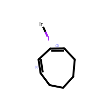 C1=C\CCCC\C=C/1.[I][Ir]